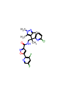 Cc1nn(C)c(C)c1C(C)(CNC(=O)c1cc(-c2ncc(F)cc2F)on1)c1cccc(Cl)n1